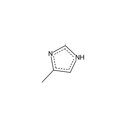 Cc1c[nH][c]n1